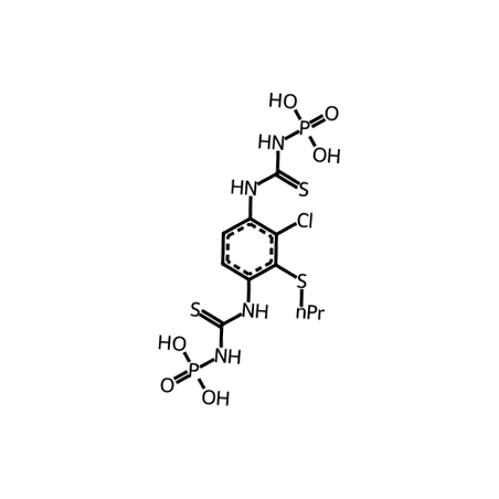 CCCSc1c(NC(=S)NP(=O)(O)O)ccc(NC(=S)NP(=O)(O)O)c1Cl